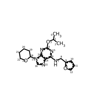 CC(C)Oc1nc(NCc2ccco2)c2ncn(C3CCCCO3)c2n1